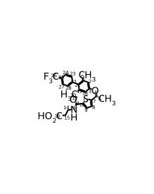 Cc1cc(O[C@H](C)c2ccc(C(=O)NCCC(=O)O)s2)cc(C)c1-c1ccc(C(F)(F)F)cc1